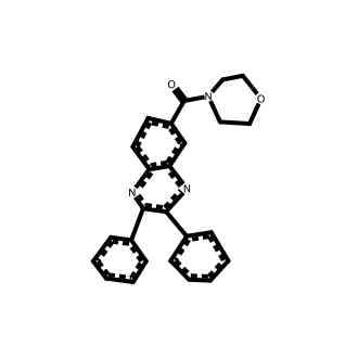 O=C(c1ccc2nc(-c3ccccc3)c(-c3ccccc3)nc2c1)N1CCOCC1